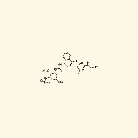 COc1c(NC(=O)Nc2ccc(Oc3cc(C)nc(NCC(C)C)n3)c3ccccc23)cc(C(C)(C)C)cc1NS(C)(=O)=O